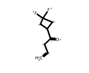 C=CCC(=O)C1CC(F)(F)C1